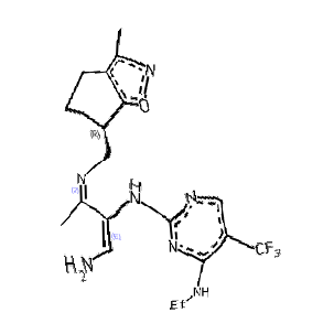 CCNc1nc(NC(=C/N)/C(C)=N\C[C@H]2CCc3c(C)noc32)ncc1C(F)(F)F